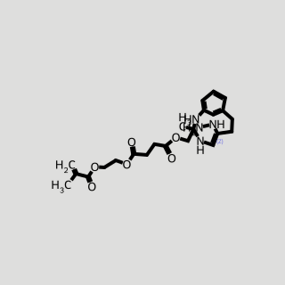 C=C(C)C(=O)OCCOC(=O)CCC(=O)OCC1(C)N/C=C(\NN)CCc2cccc(c2)N1